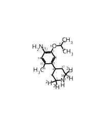 [2H]C1([2H])CC(c2cc(OC(C)C)c(N)cc2C)CC([2H])([2H])N1